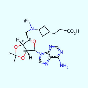 CC(C)N(C[C@H]1OC(n2cnc3c(N)ncnc32)[C@@H]2OC(C)(C)O[C@H]12)[C@H]1C[C@@H](CCC(=O)O)C1